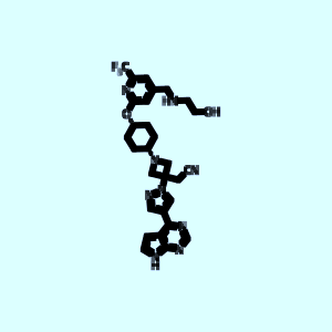 N#CCC1(n2cc(-c3ncnc4[nH]ccc34)cn2)CN([C@H]2CC[C@@H](Oc3cc(CNCCO)cc(C(F)(F)F)n3)CC2)C1